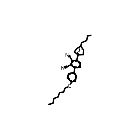 CCCCCCCOc1ccc(-c2ccc(C34CCC(CCCC)(CC3)CC4)c(C#N)c2C#N)cc1